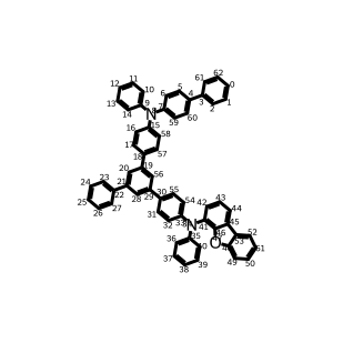 c1ccc(-c2ccc(N(c3ccccc3)c3ccc(-c4cc(-c5ccccc5)cc(-c5ccc(N(c6ccccc6)c6cccc7c6oc6ccccc67)cc5)c4)cc3)cc2)cc1